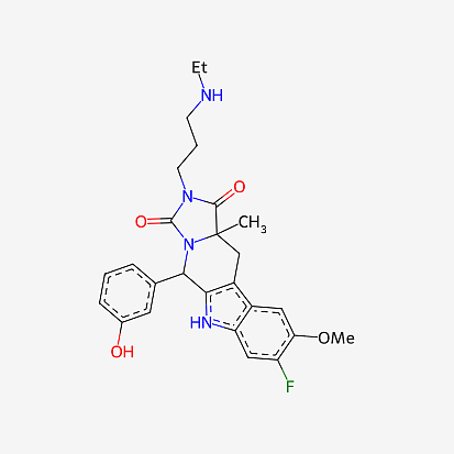 CCNCCCN1C(=O)N2C(c3cccc(O)c3)c3[nH]c4cc(F)c(OC)cc4c3CC2(C)C1=O